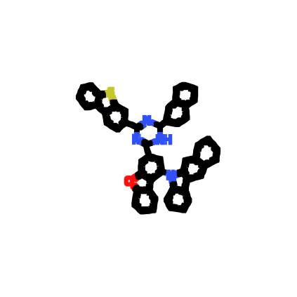 c1ccc2cc(C3N=C(c4ccc5c(c4)sc4ccccc45)N=C(c4cc(-n5c6ccccc6c6cc7ccccc7cc65)c5c(c4)oc4ccccc45)N3)ccc2c1